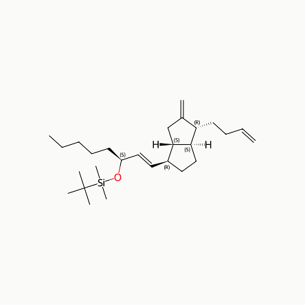 C=CCC[C@H]1C(=C)C[C@@H]2[C@@H]1CC[C@H]2C=C[C@H](CCCCC)O[Si](C)(C)C(C)(C)C